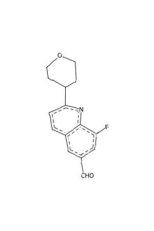 O=Cc1cc(F)c2nc(C3CCOCC3)ccc2c1